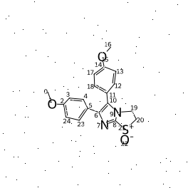 COc1ccc(-c2nc3n(c2-c2ccc(OC)cc2)CC[S+]3[O-])cc1